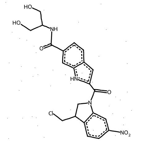 O=C(NC(CO)CO)c1ccc2cc(C(=O)N3CC(CCl)c4ccc([N+](=O)[O-])cc43)[nH]c2c1